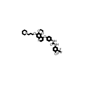 O=C(Nc1ccc(Oc2ccnc3cc(OCCCN4CCCCC4)c4c(c23)OCCO4)cc1)Nc1ccc(Cl)c(C(F)(F)F)c1